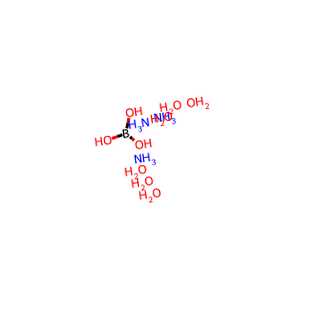 N.N.N.O.O.O.O.O.O.OB(O)O